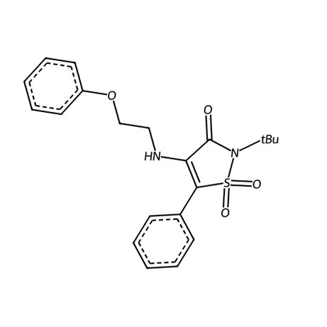 CC(C)(C)N1C(=O)C(NCCOc2ccccc2)=C(c2ccccc2)S1(=O)=O